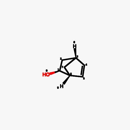 O[C@H]1C[C@@H]2C=C[C@H]1C2